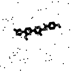 COc1ccc([C@H](C)Nc2nnc(-c3ccc(-n4cnc(C)c4)c(OC)n3)cc2C)cc1